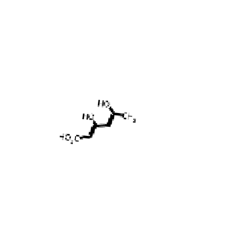 C/C(O)=C/C(O)=C/C(=O)O